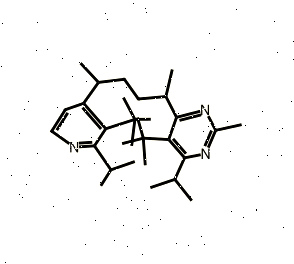 Cc1nc(C(C)C)c(C(C)(C)C)c(C(C)CCC(C)c2ccnc(C(C)C)c2C(C)(C)C)n1